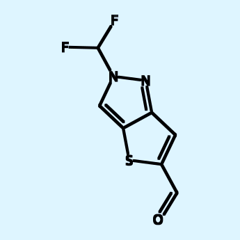 O=Cc1cc2nn(C(F)F)cc2s1